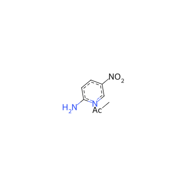 CC(C)=O.Nc1ccc([N+](=O)[O-])cn1